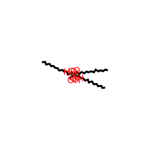 CCCCCCCCCCCCCC(=O)C(O)(CO)C(O)(C(=O)CCCCCCCCCCCCC)C(=O)CCCCCCCCCCCCC